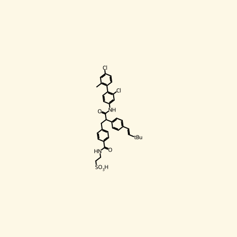 Cc1cc(Cl)ccc1-c1ccc(NC(=O)C(Cc2ccc(C(=O)NCCS(=O)(=O)O)cc2)c2ccc(/C=C/C(C)(C)C)cc2)cc1Cl